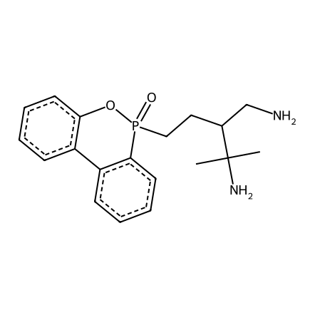 CC(C)(N)C(CN)CCP1(=O)Oc2ccccc2-c2ccccc21